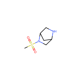 CS(=O)(=O)N1CC2CC1CN2